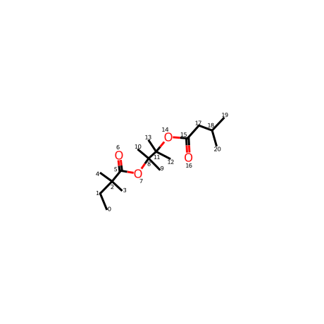 CCC(C)(C)C(=O)OC(C)(C)C(C)(C)OC(=O)CC(C)C